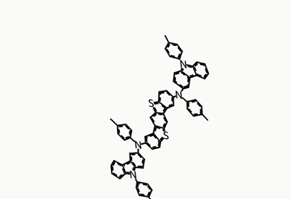 Cc1ccc(N(c2ccc3sc4cc5c(cc4c3c2)sc2ccc(N(c3ccc(C)cc3)c3ccc4c(c3)c3ccccc3n4-c3ccc(C)cc3)cc25)c2ccc3c(c2)c2ccccc2n3-c2ccc(C)cc2)cc1